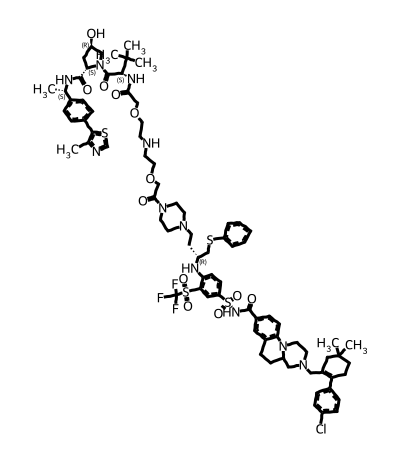 Cc1ncsc1-c1ccc([C@H](C)NC(=O)[C@@H]2C[C@@H](O)CN2C(=O)[C@@H](NC(=O)COCCNCCOCC(=O)N2CCN(CC[C@H](CSc3ccccc3)Nc3ccc(S(=O)(=O)NC(=O)c4ccc5c(c4)CCC4CN(CC6=C(c7ccc(Cl)cc7)CCC(C)(C)C6)CCN54)cc3S(=O)(=O)C(F)(F)F)CC2)C(C)(C)C)cc1